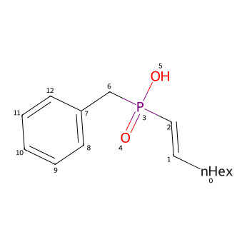 CCCCCCC=CP(=O)(O)Cc1ccccc1